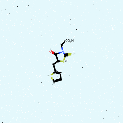 O=C(O)CN1C(=O)C(Cc2cccs2)SC1=S